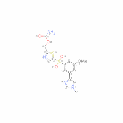 COc1cc(-c2cn(C)cn2)cc(S(=O)(=O)c2cnc(COC(N)=O)s2)c1